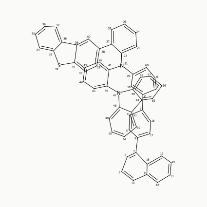 c1cc(-c2ccc(-c3cccc4ccccc34)cc2)cc(N(c2ccccc2-c2ccc3sc4ccccc4c3c2)c2ccccc2-n2c3ccccc3c3ccccc32)c1